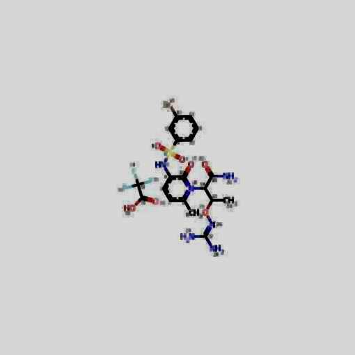 Cc1ccc(NS(=O)(=O)c2cccc(Br)c2)c(=O)n1C(C(N)=O)C(C)ON=C(N)N.O=C(O)C(F)(F)F